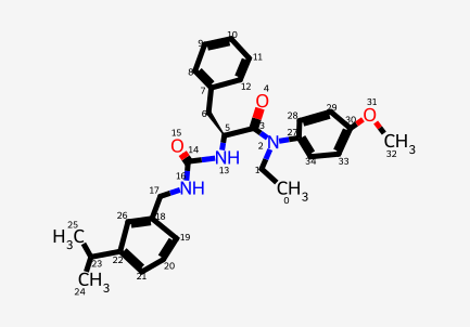 CCN(C(=O)[C@H](Cc1ccccc1)NC(=O)NCc1cccc(C(C)C)c1)c1ccc(OC)cc1